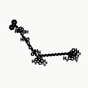 CC(C)(C)OC(=O)[C@H](CCC(=O)NCCOCCOCC(=O)NCCCC[C@H](NC(=O)OCC1c2ccccc2-c2ccccc21)C(=O)O)NC(=O)CCCCCCCCCCCCCCCCCP(=O)(OC(C)(C)C)OC(C)(C)C